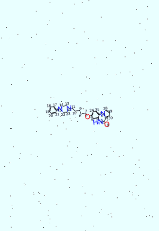 O=c1[nH]c2cc(OCCCCCN3CCN(c4ccccc4)CC3)ccc2n2cccc12